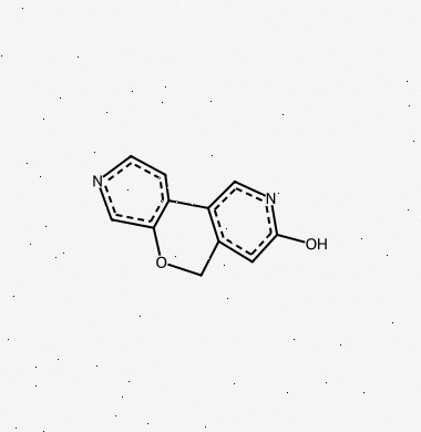 Oc1cc2c(cn1)-c1ccncc1OC2